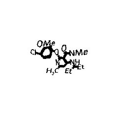 CCC(CC)Nc1cc(C)nc(Oc2ccc(Cl)cc2OC)c1C(=O)NC